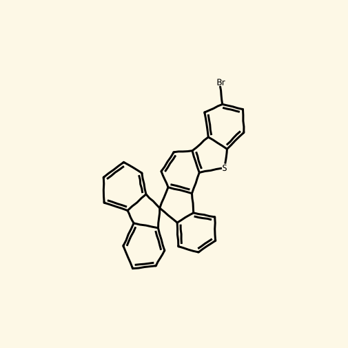 Brc1ccc2sc3c4c(ccc3c2c1)C1(c2ccccc2-c2ccccc21)c1ccccc1-4